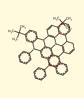 CC(C)(C)c1ccc2c(c1)N(c1ccccc1)c1cc(N(c3ccccc3)c3ccccc3)cc3c1B2C1=C(C[C@H](C(C)(C)C)C=C1)N3C1=C(c2ccccc2)C=CCC1c1ccccc1